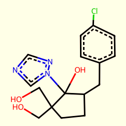 OCC1(CO)CCC(Cc2ccc(Cl)cc2)C1(O)n1cncn1